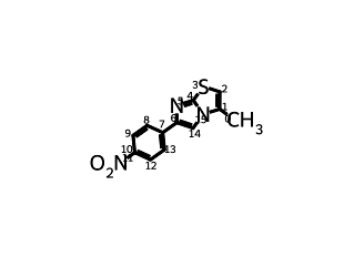 Cc1csc2nc(-c3ccc([N+](=O)[O-])cc3)cn12